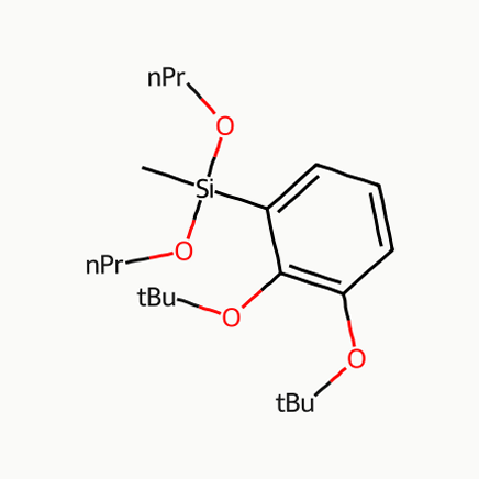 CCCO[Si](C)(OCCC)c1cccc(OC(C)(C)C)c1OC(C)(C)C